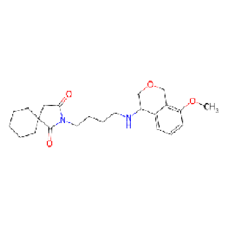 COc1cccc2c1COCC2NCCCCN1C(=O)CC2(CCCCC2)C1=O